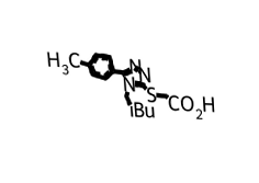 CCC(C)Cn1c(SCC(=O)O)nnc1-c1ccc(C)cc1